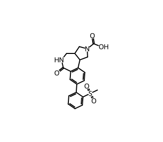 CS(=O)(=O)c1ccccc1-c1ccc2c(c1)C(=O)NCC1CN(C(=O)O)CC21